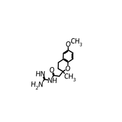 COc1ccc2c(c1)CCC(C)(CC(=O)NC(=N)N)O2